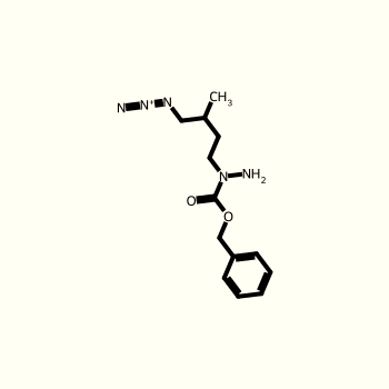 CC(CCN(N)C(=O)OCc1ccccc1)CN=[N+]=[N-]